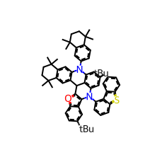 Cc1cc2c3c(c1)N(c1cccc4sc5ccc(C(C)(C)C)cc5c14)c1c(oc4ccc(C(C)(C)C)cc14)C3c1cc3c(cc1N2c1ccc2c(c1)C(C)(C)CCC2(C)C)C(C)(C)CCC3(C)C